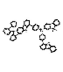 CC1(C)c2ccccc2-c2ccc(N(c3ccc(-c4cccc5c4sc4ccccc45)cc3)c3ccc(-c4cccc5c4sc4cc6c(cc45)C4(c5ccccc5-c5ccccc54)c4ccccc4-6)cc3)cc21